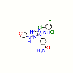 NC(=O)[C@H]1CC[C@@H](n2c(Nc3c(Cl)cc(F)cc3Cl)nc3cnc(NC4CCOCC4)nc32)CC1